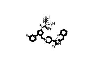 CCc1nc(Cc2ccccc2F)sc1C1CCN(CC2CC(N(C)[C@@H](C(=O)O)C(C)C)CC2c2cccc(F)c2)CC1.Cl.Cl.Cl